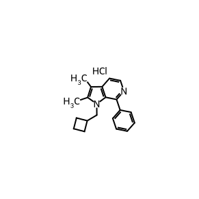 Cc1c(C)n(CC2CCC2)c2c(-c3ccccc3)nccc12.Cl